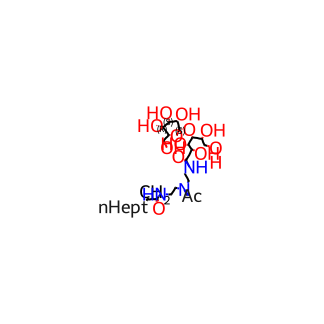 C=C(CCCCCCC)C(=O)NCCN(CCNC(=O)C(O)C(O)C(O[C@@H]1OC(CO)[C@H](O)[C@H](O)C1O)C(O)CO)C(C)=O